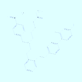 COC(=O)CCCCN(CCc1ccccc1OCc1ccc(-c2ccc(F)cc2F)cc1)Cc1ccc(C(=O)OC)cc1